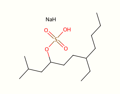 CCCCC(CC)CCC(CC(C)C)OS(=O)(=O)O.[NaH]